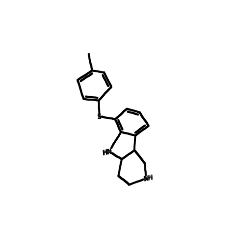 Cc1ccc(Sc2cccc3c2NC2CCNCC32)cc1